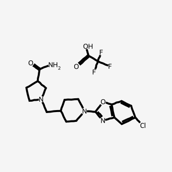 NC(=O)C1CCN(CC2CCN(c3nc4cc(Cl)ccc4o3)CC2)C1.O=C(O)C(F)(F)F